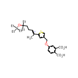 CCC(CC)(CC/C=C(\C)c1cc(COc2ccc(C(=O)O)c(C(=O)O)c2)cs1)O[Si](CC)(CC)CC